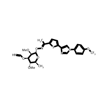 CO[C@@H]1[C@@H](OC=N)[C@@H](OC)[C@H](O/N=C(\C)c2ccc(-c3cn(-c4ccc(OC(F)(F)F)cc4)cn3)s2)O[C@H]1C